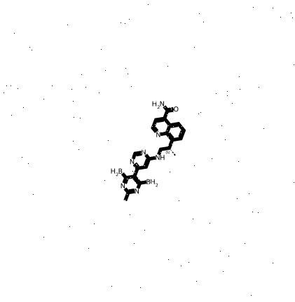 Bc1nc(C)nc(B)c1-c1cc(NC[C@@H](C)c2cccc3c(C(N)=O)ccnc23)ncn1